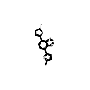 Cc1ccc(-c2ccc(C3=CC[C@H](C)S3)c3nsnc23)s1